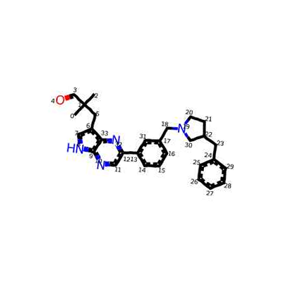 CC(C)(C=O)Cc1c[nH]c2ncc(-c3cccc(CN4CCC(Cc5ccccc5)C4)c3)nc12